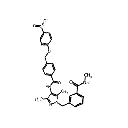 CNC(=O)c1cccc(Cn2nc(C)c(NC(=O)c3ccc(COc4ccc([N+](=O)[O-])cc4)cc3)c2C)c1